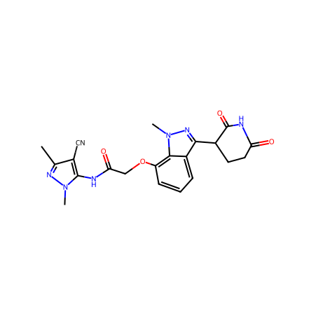 Cc1nn(C)c(NC(=O)COc2cccc3c(C4CCC(=O)NC4=O)nn(C)c23)c1C#N